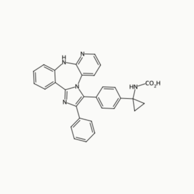 O=C(O)NC1(c2ccc(-c3c(-c4ccccc4)nc4n3-c3cccnc3Nc3ccccc3-4)cc2)CC1